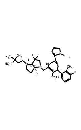 CCOC(=O)C1=C(CN2CC(F)(F)[C@H]3[C@@H]2CCN3CCC(C)(C)C(=O)O)NC(c2nccn2C)=NC1c1cccc(F)c1C